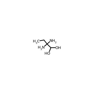 CCC(N)(N)C(O)O